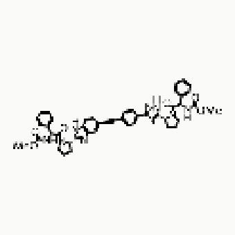 COC(=O)N[C@@H](C(=O)N1CCC[C@H]1c1nc(-c2ccc(C#Cc3ccc4[nH]c([C@@H]5CCCN5C(=O)[C@H](NC(=O)OC)c5ccccc5)nc4c3)cc2)n[nH]1)c1ccccc1